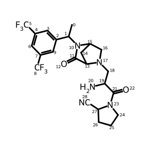 CC(c1cc(C(F)(F)F)cc(C(F)(F)F)c1)N1C(=O)C2CC1CN2CC(N)C(=O)N1CCCC1C#N